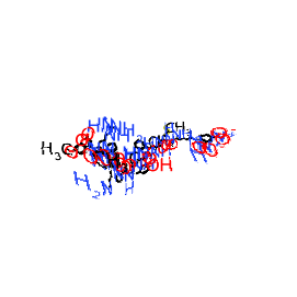 CCC[C@H](NC(=O)[C@H](C)NC(=O)[C@H](Cc1ccc(O)cc1)NC(=O)[C@@H]1CCCN1C(=O)[C@H](CCCCN)NC(=O)[C@@H]1CCCN1C(=O)[C@H](CCCNC(=N)N)N(C(C)=O)c1cc(=O)oc2cc(OC)ccc12)C(=O)N[C@@H](Cc1c[nH]c2ccccc12)C(=O)N[C@@H](CCSC)C(=O)NC(=O)[C@@H](N)CCCCNc1ccc([N+](=O)[O-])cc1[N+](=O)[O-]